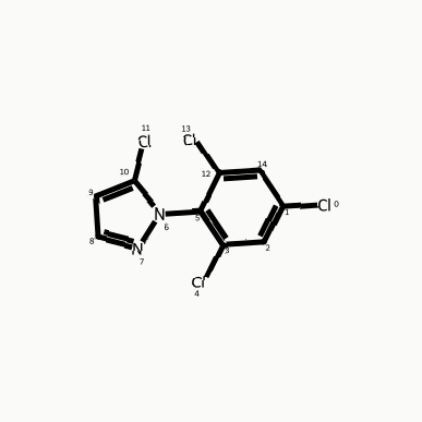 Clc1cc(Cl)c(-n2nccc2Cl)c(Cl)c1